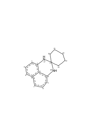 c1cc2c3c(cccc3c1)NC1(CCCCC1)N2